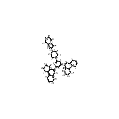 c1ccc2c(c1)cc(-c1cc(-c3ccc(-c4cn5ccncc5n4)cc3)nc(-c3cc4ccccc4c4ccccc34)c1)c1ccccc12